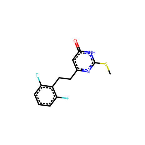 CSc1nc(CCc2c(F)cccc2F)cc(=O)[nH]1